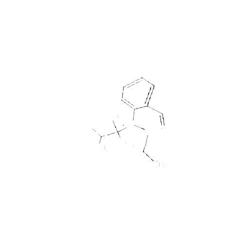 CCO[SiH](c1ccccc1C=O)C(C)(C)C(C)C